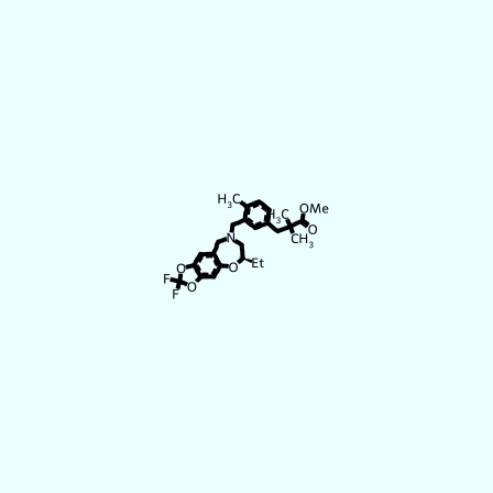 CC[C@@H]1CN(Cc2cc(CC(C)(C)C(=O)OC)ccc2C)Cc2cc3c(cc2O1)OC(F)(F)O3